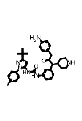 Cc1ccc(-n2nc(C(C)(C)C)cc2NC(=O)Nc2cccc(C(C(=O)Cc3ccc(N)cc3)C3CCNCC3)c2)cc1